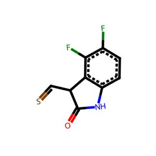 O=C1Nc2ccc(F)c(F)c2C1C=S